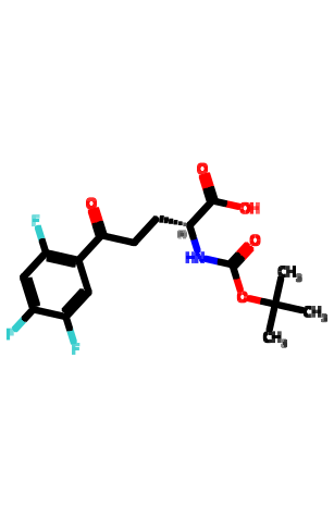 CC(C)(C)OC(=O)N[C@H](CCC(=O)c1cc(F)c(F)cc1F)C(=O)O